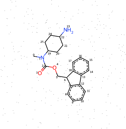 CN(C(=O)OCC1c2ccccc2-c2ccccc21)C1CCC(N)CC1